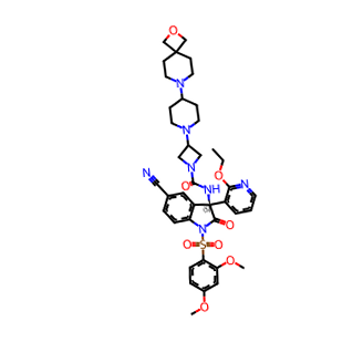 CCOc1ncccc1[C@]1(NC(=O)N2CC(N3CCC(N4CCC5(CC4)COC5)CC3)C2)C(=O)N(S(=O)(=O)c2ccc(OC)cc2OC)c2ccc(C#N)cc21